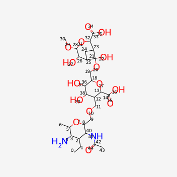 CCC1C(N)C(C)OC(COCC2C(C(=O)O)OC(COC3(O)C4CC3C(O)C(OC)OC4C(=O)O)C(O)C2O)C1NC(C)=O